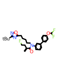 C=C(CCF)C(=O)N(CCCCCc1nc(C(C)(C)C)no1)c1cccc(-c2ccc(OC(F)F)cc2)c1